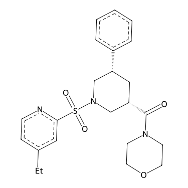 CCc1ccnc(S(=O)(=O)N2C[C@@H](C(=O)N3CCOCC3)C[C@@H](c3ccccc3)C2)c1